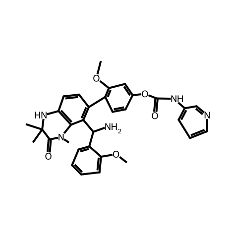 COc1cc(OC(=O)Nc2cccnc2)ccc1-c1ccc2c(c1C(N)c1ccccc1OC)N(C)C(=O)C(C)(C)N2